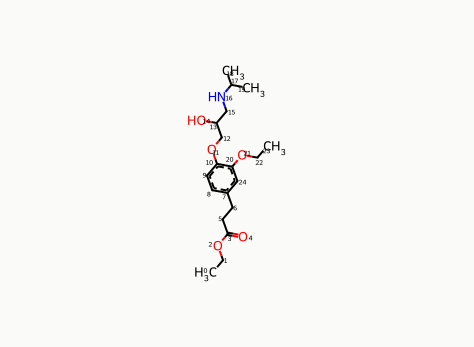 CCOC(=O)CCc1ccc(OCC(O)CNC(C)C)c(OCC)c1